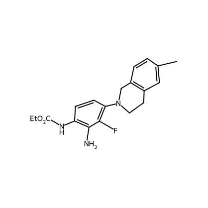 CCOC(=O)Nc1ccc(N2CCc3cc(C)ccc3C2)c(F)c1N